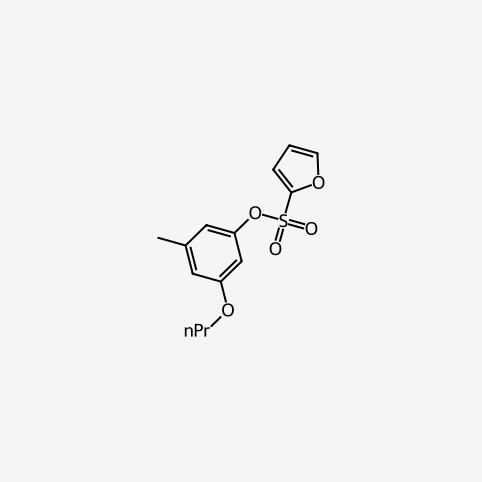 CCCOc1cc(C)cc(OS(=O)(=O)c2ccco2)c1